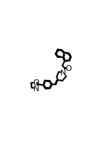 O=C(Cc1cccc2ccccc12)N1CCC(=Cc2ccc(C3=NCCO3)cc2)CC1